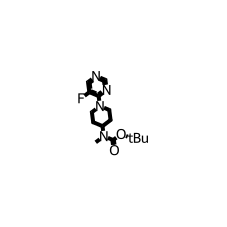 CN(C(=O)OC(C)(C)C)C1CCN(c2ncncc2F)CC1